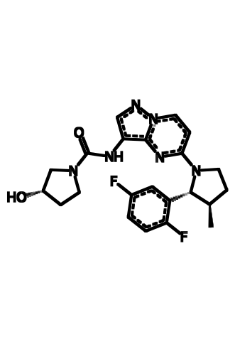 C[C@@H]1CCN(c2ccn3ncc(NC(=O)N4CC[C@H](O)C4)c3n2)[C@H]1c1cc(F)ccc1F